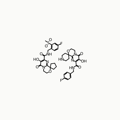 CS(=O)(=O)c1cc(F)ccc1CNC(=O)c1nc2n(c(=O)c1O)CCOC21CCCC1.O=C(NCc1ccc(F)cc1)c1nc2n(c(=O)c1O)CCOC21CCNCC1